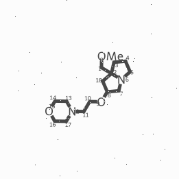 COCC12CCCN1CC(OCCN1CCOCC1)C2